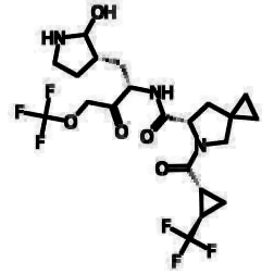 O=C(COC(F)(F)F)[C@H](C[C@@H]1CCNC1O)NC(=O)[C@@H]1CC2(CC2)CN1C(=O)[C@@H]1C[C@H]1C(F)(F)F